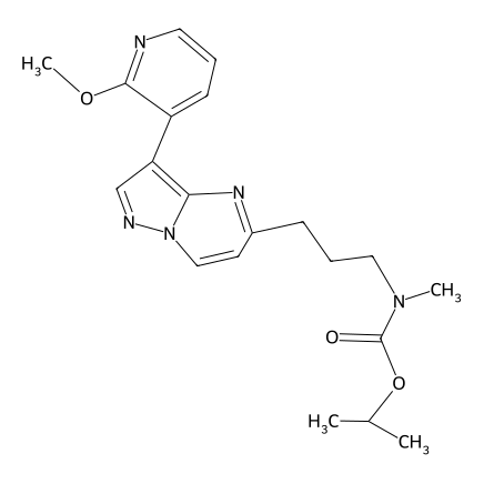 COc1ncccc1-c1cnn2ccc(CCCN(C)C(=O)OC(C)C)nc12